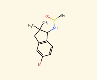 CC1(C)Cc2cc(Br)ccc2C1N[S+]([O-])C(C)(C)C